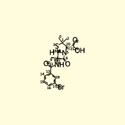 CC1(C)S[C@H]2N(C(=O)[C@]2(C)NC(=O)c2cccc(Br)c2)[C@H]1C(=O)O